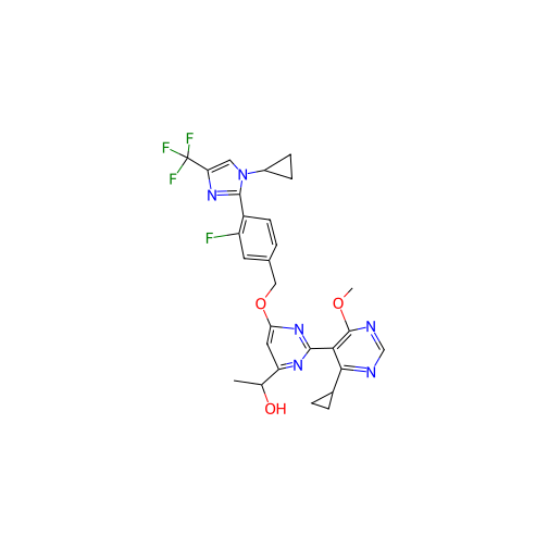 COc1ncnc(C2CC2)c1-c1nc(OCc2ccc(-c3nc(C(F)(F)F)cn3C3CC3)c(F)c2)cc(C(C)O)n1